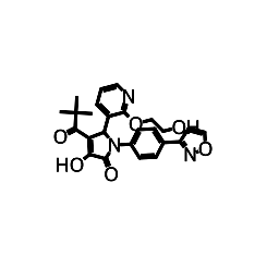 CC(C)(C)C(=O)C1=C(O)C(=O)N(c2ccc(-c3ccon3)cc2)C1c1cccnc1OCCO